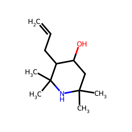 C=CCC1C(O)CC(C)(C)NC1(C)C